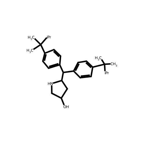 CC(C)C(C)(C)c1ccc(C(c2ccc(C(C)(C)C(C)C)cc2)C2CC(O)CN2)cc1